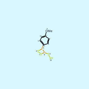 COc1ccc(P2SSP2SS)cc1